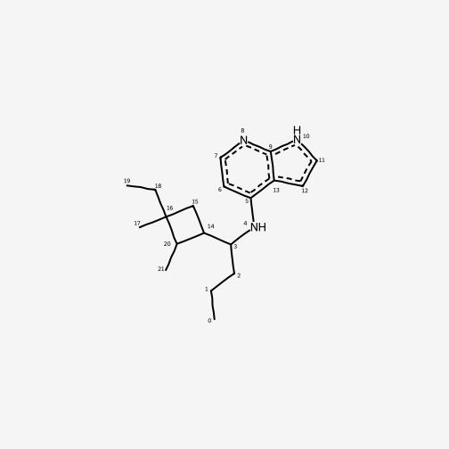 CCCC(Nc1ccnc2[nH]ccc12)C1CC(C)(CC)C1C